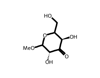 COC1OC(CO)[C@@H](O)C(=O)[C@@H]1O